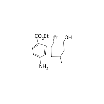 CC1CCC(C(C)C)C(O)C1.CCOC(=O)c1ccc(N)cc1